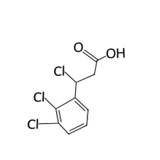 O=C(O)CC(Cl)c1cccc(Cl)c1Cl